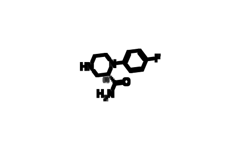 NC(=O)[C@@H]1CNCCN1c1ccc(F)cc1